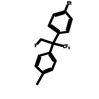 CCc1ccc(C(CF)(c2ccc(C)cc2)C(F)(F)F)cc1